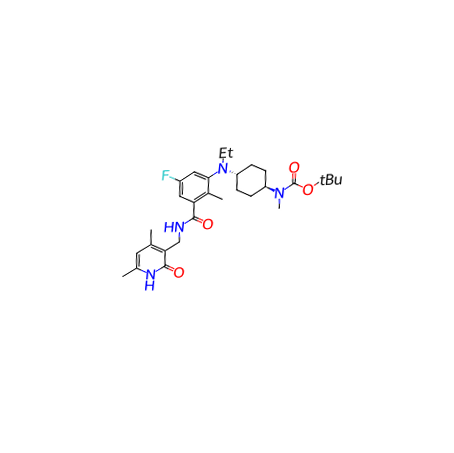 CCN(c1cc(F)cc(C(=O)NCc2c(C)cc(C)[nH]c2=O)c1C)[C@H]1CC[C@H](N(C)C(=O)OC(C)(C)C)CC1